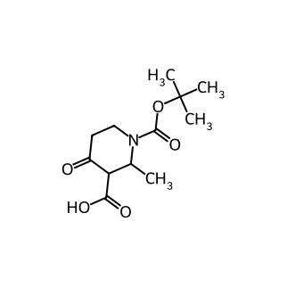 CC1C(C(=O)O)C(=O)CCN1C(=O)OC(C)(C)C